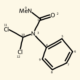 CNC(=O)N(c1ccccc1)C(Cl)Cl